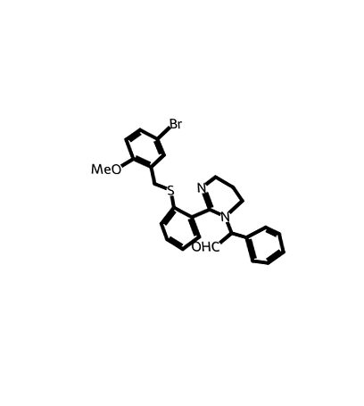 COc1ccc(Br)cc1CSc1ccccc1C1=NCCCN1C(C=O)c1ccccc1